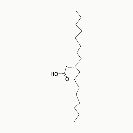 CCCCCCCCC(=CC(=O)O)CCCCCCCC